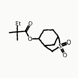 CCC(C)(C)C(=O)OC1CCC2CC1CS2(=O)=O